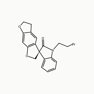 CC(C)CCN1C(=O)[C@]2(COc3cc4c(cc32)CCO4)c2ccccc21